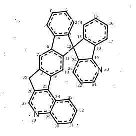 c1ccc2c(c1)-c1cc3c(cc1C21c2ccccc2-c2ncccc21)-c1c(cnc2ccccc12)C3